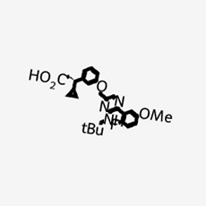 COc1ccc(F)c(-c2ncc(COc3cccc([C@@H](CC(=O)O)C4CC4)c3)nc2NCC(C)(C)C)c1